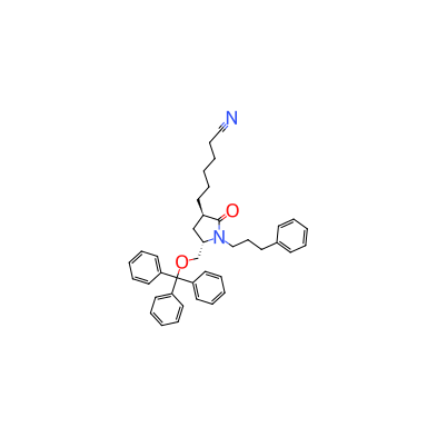 N#CCCCCC[C@@H]1C[C@@H](COC(c2ccccc2)(c2ccccc2)c2ccccc2)N(CCCc2ccccc2)C1=O